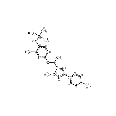 Cc1cc(OC(C)c2nn(-c3ccc(C(F)(F)F)cc3)nc2C)ccc1OC(C)(C)C(=O)O